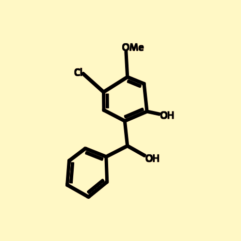 COc1cc(O)c(C(O)c2ccccc2)cc1Cl